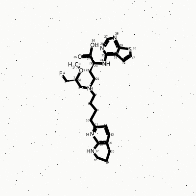 CO[C@H](CF)CN(CCCCc1ccc2c(n1)NCCC2)CC[C@H](Nc1ncnc2sccc12)C(=O)O